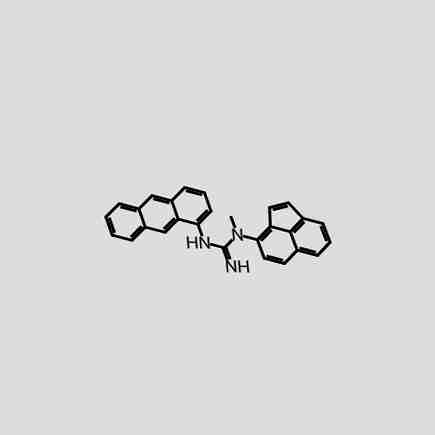 CN(C(=N)Nc1cccc2cc3ccccc3cc12)c1ccc2cccc3c2c1C=C3